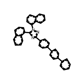 c1ccc(-c2ccc(-c3ccc(-c4nc(-c5cccc6ccccc56)n(-c5cccc6ccccc56)n4)cc3)cc2)cc1